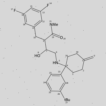 C=C1CCC(NCC(O)C(Cc2cc(F)cc(F)c2)C(=O)NC)(c2cccc(C(C)(C)C)c2)CC1